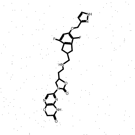 O=C1COc2ncc(N3CC(CCNCC4Cc5c(F)cc(OCc6cc[nH]n6)c(F)c5C4)OC3=O)nc2N1